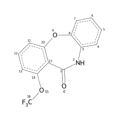 O=C1Nc2ccccc2Oc2cccc(OC(F)(F)F)c21